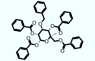 C[C@]1(COC(=O)c2ccccc2)O[C@H](OC(=O)c2ccccc2)[C@H](OC(=O)c2ccccc2)[C@@H](OCc2ccccc2)[C@@H]1OC(=O)c1ccccc1